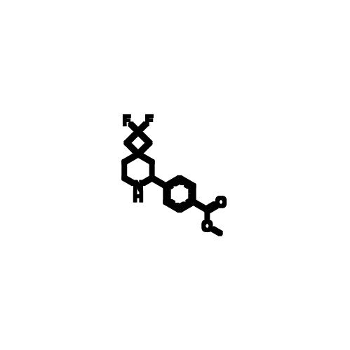 COC(=O)c1ccc(C2CC3(CCN2)CC(F)(F)C3)cc1